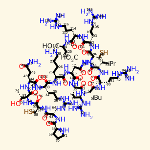 CC[C@H](C)[C@H](NC(=O)[C@H](CCCNC(=N)N)NC(=O)[C@H](CC(N)=O)NC(=O)[C@H](CCCCN)NC(=O)[C@H](CCCNC(=N)N)NC(=O)[C@H](CCC(N)=O)NC(=O)[C@@H](NC(=O)[C@H](CS)NC(=O)[C@H](C)NC(=O)[C@@H]1CCCN1)[C@@H](C)O)C(=O)N[C@@H](CCCNC(=N)N)C(=O)N[C@@H](CC(C)C)C(=O)N[C@@H](CS)C(=O)N[C@@H](CCCNC(=N)N)C(=O)N[C@@H](CCCNC(=N)N)C(=O)N[C@@H](CC(=O)O)C(=O)O